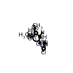 COC(=O)Nc1ccc2c(c1)NC(C(=O)OC(C)(C)C)CCCCC(NC(=O)/C=C/c1cc(Cl)ccc1-n1cnnn1)c1nc-2c(C#N)[nH]1